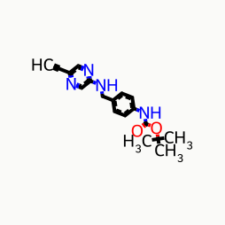 C#Cc1cnc(NCc2ccc(NC(=O)OC(C)(C)C)cc2)cn1